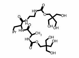 CC(C)CC(NC(=O)C(C)NC(=O)OCC(CO)(CO)CO)C(=O)NCCNC(=O)OCC(CO)(CO)CO